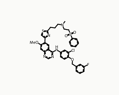 COc1cc2ncnc(Nc3ccc(OCc4cccc(F)c4)c(Cl)c3)c2cc1-c1csc(CCCN(C)CCS(=O)(=O)c2ccccc2)n1